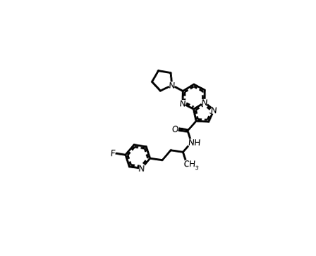 CC(CCc1ccc(F)cn1)NC(=O)c1cnn2ccc(N3CCCC3)nc12